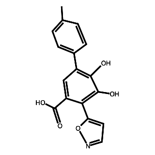 Cc1ccc(-c2cc(C(=O)O)c(-c3ccno3)c(O)c2O)cc1